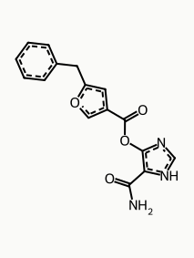 NC(=O)c1[nH]cnc1OC(=O)c1coc(Cc2ccccc2)c1